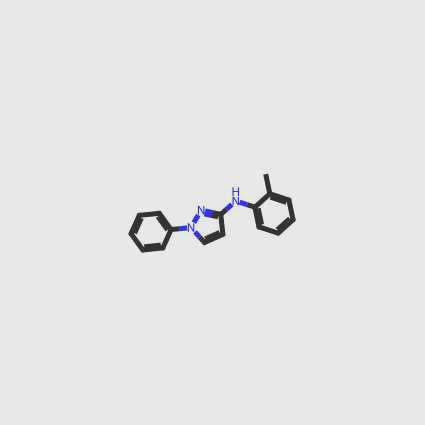 Cc1ccccc1Nc1ccn(-c2ccccc2)n1